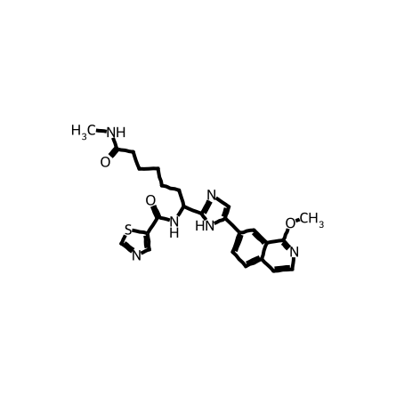 CNC(=O)CCCCCC(NC(=O)c1cncs1)c1ncc(-c2ccc3ccnc(OC)c3c2)[nH]1